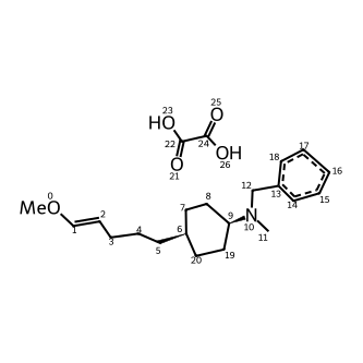 COC=CCCC[C@H]1CC[C@@H](N(C)Cc2ccccc2)CC1.O=C(O)C(=O)O